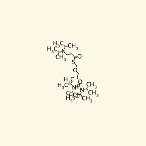 CC(C)N(CCC(=O)SCOCCOP(N(C(C)C)C(C)C)N(C(C)C)C(C)C)C(C)C